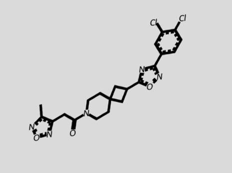 Cc1nonc1CC(=O)N1CCC2(CC1)CC(c1nc(-c3ccc(Cl)c(Cl)c3)no1)C2